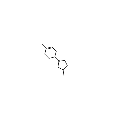 CC1=CCC(N2CCC(C)C2)CC1